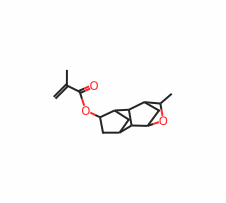 C=C(C)C(=O)OC1CC2CC1C1C3CC(OC3C)C21